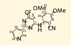 COc1cc(C#N)c(Nc2cc(C(F)(F)F)nc(-c3cccnc3)n2)cc1OC